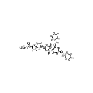 CC(C)(C)OC(=O)N1CCC2(CCN(c3cc(F)c(-c4ccc(OCc5ccccc5)nc4OCc4ccccc4)c(F)c3)C2)C1